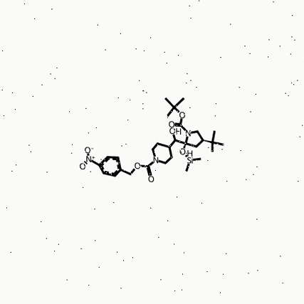 C[SiH](C)O[C@]1(C(O)C2CCN(C(=O)OCc3ccc([N+](=O)[O-])cc3)CC2)C[C@H](C(C)(C)C)CN1C(=O)OC(C)(C)C